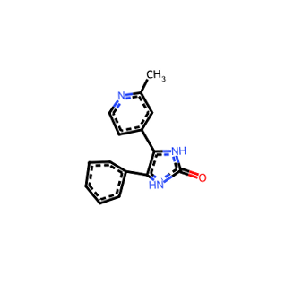 Cc1cc(-c2[nH]c(=O)[nH]c2-c2ccccc2)ccn1